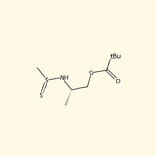 C[C@@H](COC(=O)C(C)(C)C)NS(C)=S